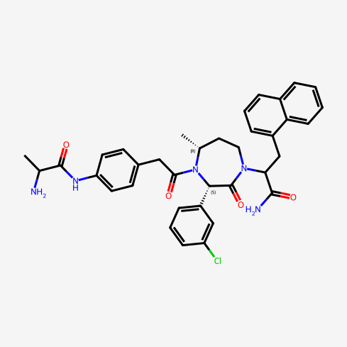 CC(N)C(=O)Nc1ccc(CC(=O)N2[C@H](C)CCN(C(Cc3cccc4ccccc34)C(N)=O)C(=O)[C@@H]2c2cccc(Cl)c2)cc1